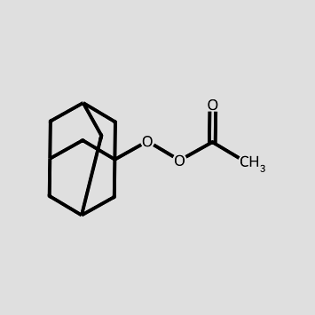 CC(=O)OOC12CC3CC(CC(C3)C1)C2